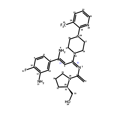 C=C(/N=C(\C=C(/N)c1ccc(F)c(N)c1)N1CCN(c2ncccc2C(F)(F)F)CC1)N1CCC[C@@H]1CO